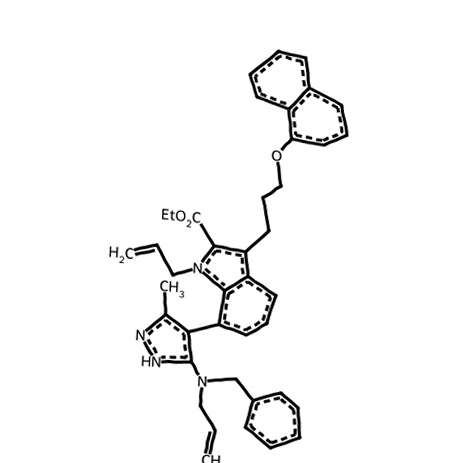 C=CCN(Cc1ccccc1)c1[nH]nc(C)c1-c1cccc2c(CCCOc3cccc4ccccc34)c(C(=O)OCC)n(CC=C)c12